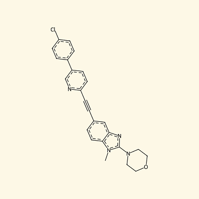 Cn1c(N2CCOCC2)nc2cc(C#Cc3ccc(-c4ccc(Cl)cc4)cn3)ccc21